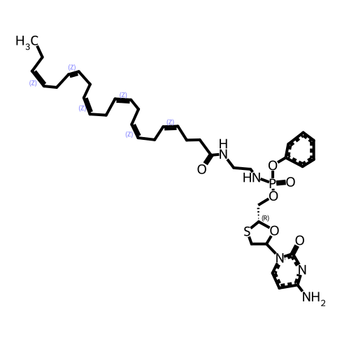 CC/C=C\C/C=C\C/C=C\C/C=C\C/C=C\C/C=C\CCC(=O)NCCNP(=O)(OC[C@@H]1OC(n2ccc(N)nc2=O)CS1)Oc1ccccc1